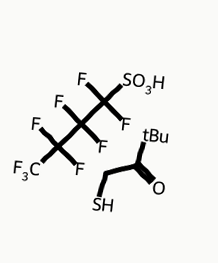 CC(C)(C)C(=O)CS.O=S(=O)(O)C(F)(F)C(F)(F)C(F)(F)C(F)(F)F